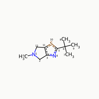 CN1Cc2nc(C(C)(C)C)sc2C1